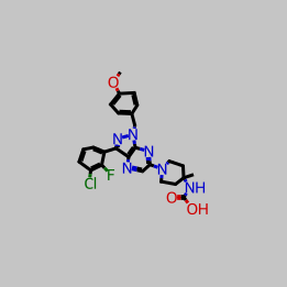 COc1ccc(Cn2nc(-c3cccc(Cl)c3F)c3ncc(N4CCC(C)(NC(=O)O)CC4)nc32)cc1